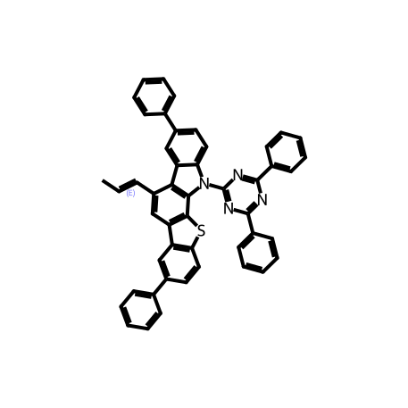 C/C=C/c1cc2c3cc(-c4ccccc4)ccc3sc2c2c1c1cc(-c3ccccc3)ccc1n2-c1nc(-c2ccccc2)nc(-c2ccccc2)n1